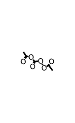 CC(=O)OOC(=O)OC(C)=O